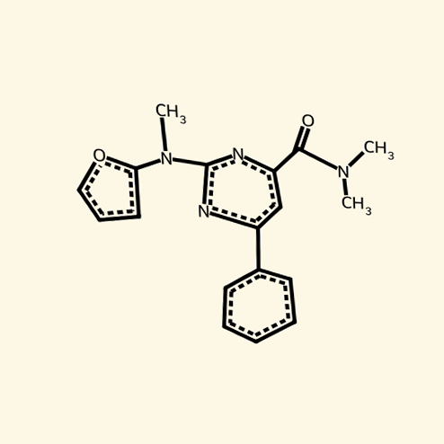 CN(C)C(=O)c1cc(-c2ccccc2)nc(N(C)c2ccco2)n1